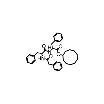 O=C(Cc1ccccc1)N[C@@H](Cc1ccccc1)C(=O)N[C@@H](Cc1ccccc1)C(=O)OC1CCCCCCCCC1